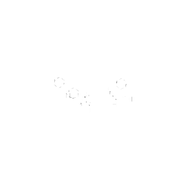 C[C@@H](NC(=O)[C@H]1CC[C@H](NS(=O)(=O)c2ccc(-c3ccccc3)nc2)CC1)c1ccccc1